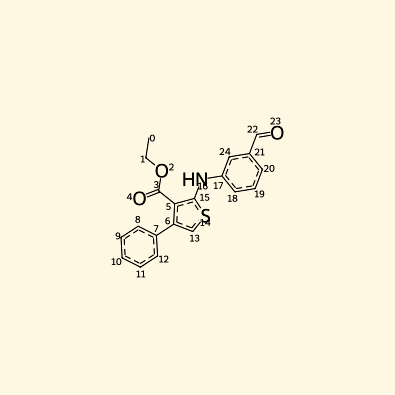 CCOC(=O)c1c(-c2ccccc2)csc1Nc1cccc(C=O)c1